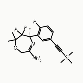 CC1(C)OCC(N)=N[C@](C)(c2cc(C#C[Si](C)(C)C)ccc2F)C1(F)F